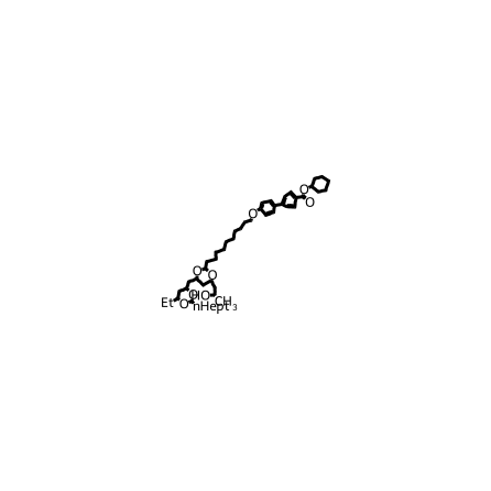 CCCCCCCC1OC(CC)CC(CC2CC(CC(C)O)OC(CCCCCCCCCCOc3ccc(-c4ccc(C(=O)OC5CCCCC5)cc4)cc3)O2)O1